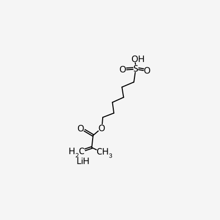 C=C(C)C(=O)OCCCCCCS(=O)(=O)O.[LiH]